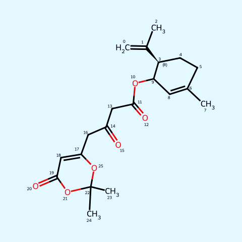 C=C(C)[C@H]1CCC(C)=CC1OC(=O)CC(=O)CC1=CC(=O)OC(C)(C)O1